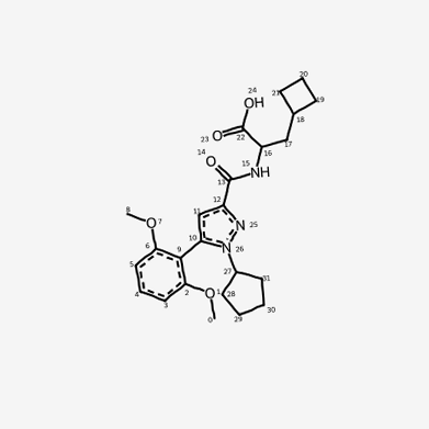 COc1cccc(OC)c1-c1cc(C(=O)NC(CC2CCC2)C(=O)O)nn1C1CCCC1